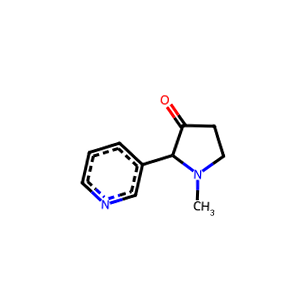 CN1CCC(=O)C1c1cccnc1